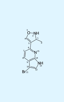 CC1NOC=C1c1ccc2c(Br)c[nH]c2n1